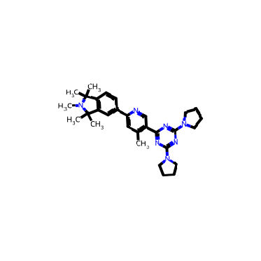 Cc1cc(-c2ccc3c(c2)C(C)(C)N(C)C3(C)C)ncc1-c1nc(N2CCCC2)nc(N2CCCC2)n1